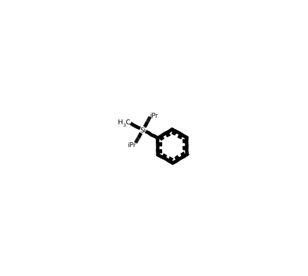 CC(C)[Si](C)(c1cc[c]cc1)C(C)C